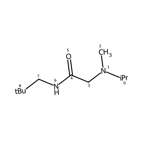 CC(C)N(C)CC(=O)NCC(C)(C)C